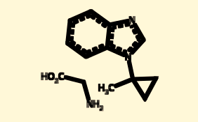 CC1(n2cnc3ccccc32)CC1.NCC(=O)O